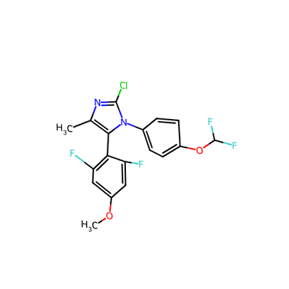 COc1cc(F)c(-c2c(C)nc(Cl)n2-c2ccc(OC(F)F)cc2)c(F)c1